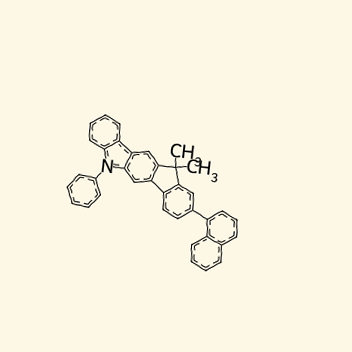 CC1(C)c2cc(-c3cccc4ccccc34)ccc2-c2cc3c(cc21)c1ccccc1n3-c1ccccc1